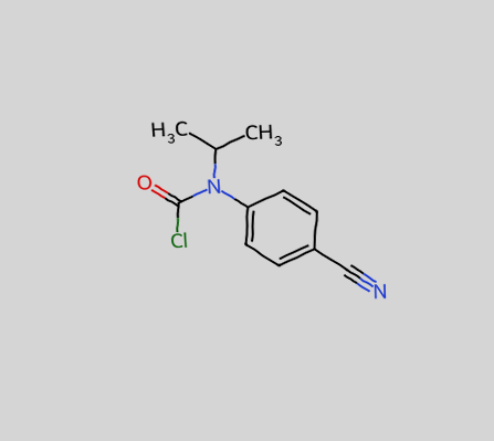 CC(C)N(C(=O)Cl)c1ccc(C#N)cc1